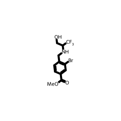 COC(=O)c1ccc(CNC(CO)C(F)(F)F)c(Br)c1